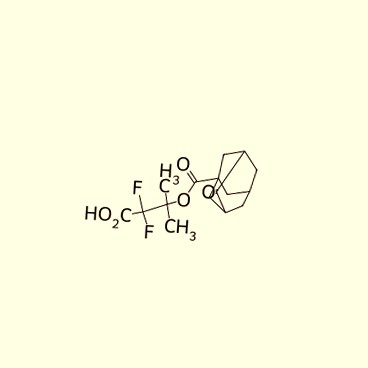 CC(C)(OC(=O)C12CC3CC(C1)C(=O)C(C3)C2)C(F)(F)C(=O)O